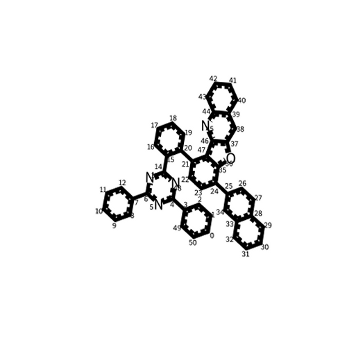 c1ccc(-c2nc(-c3ccccc3)nc(-c3ccccc3-c3ccc(-c4ccc5ccccc5c4)c4oc5cc6ccccc6nc5c34)n2)cc1